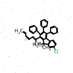 C=C/C=C\C=C(/C)c1c(-c2ccccc2)c(-c2ccccc2)c(-c2ccccc2)c2c1C(C)(C)c1cc(Cl)ccc1-2